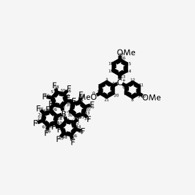 COc1ccc([C+](c2ccc(OC)cc2)c2ccc(OC)cc2)cc1.Fc1c(F)c(F)c([B-](c2c(F)c(F)c(F)c(F)c2F)(c2c(F)c(F)c(F)c(F)c2F)c2c(F)c(F)c(F)c(F)c2F)c(F)c1F